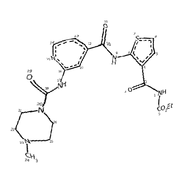 CCOC(=O)NC(=O)c1ccsc1NC(=O)c1ccnc(NC(=O)N2CCN(C)CC2)c1